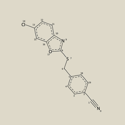 N#Cc1ccc(CSc2nc3ccc(Cl)cc3o2)cc1